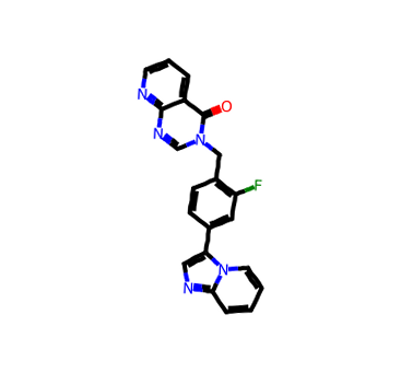 O=c1c2cccnc2ncn1Cc1ccc(-c2cnc3ccccn23)cc1F